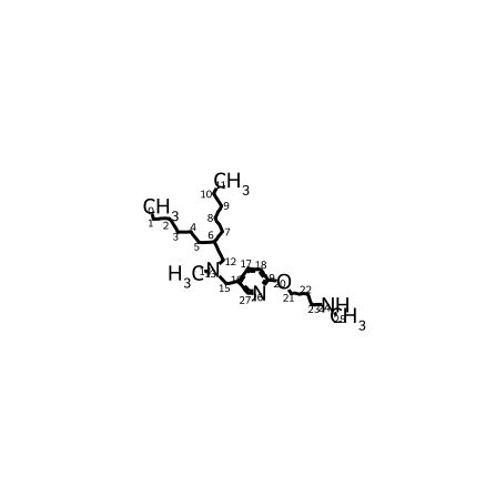 CCCCCCC(CCCCC)CN(C)Cc1ccc(OCCCNC)nc1